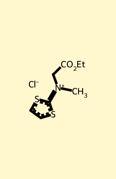 CCOC(=O)C[N+](C)=c1sccs1.[Cl-]